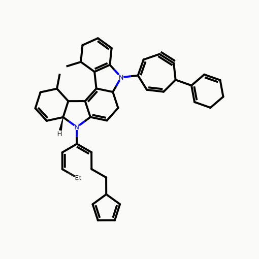 CC/C=C\C(=C/CCC1C=CC=C1)N1C2=CCC3C(=C2C2C(C)CC=C[C@H]21)C1=C(C=CCC1C)N3C1=CC#CC(C2=CCCC=C2)C=C1